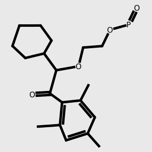 Cc1cc(C)c(C(=O)C(OCCOP=O)C2CCCCC2)c(C)c1